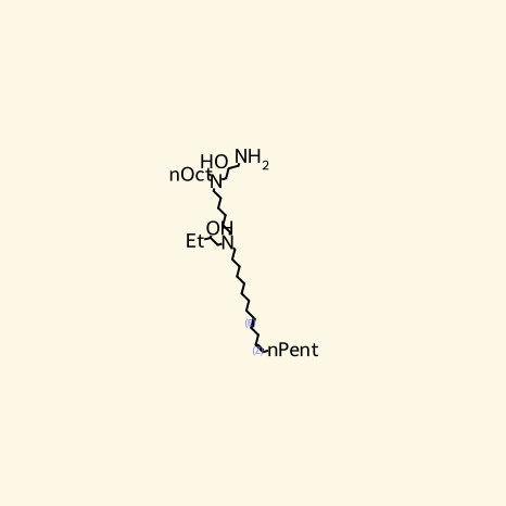 CCCCC/C=C\C/C=C/CCCCCCCCN(CCCCCCN(CCCCCCCC)CC(O)CN)CC(O)CC